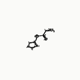 C=CC(=O)Oc1cncs1